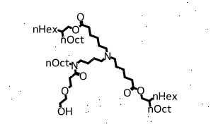 CCCCCCCCC(CCCCCC)COC(=O)CCCCCN(CCCCCC(=O)OCC(CCCCCC)CCCCCCCC)CCCCN(CCCCCCCC)C(=O)CCOCCO